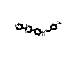 COc1ccc(C=NNc2ccc(-c3cnc(-c4ccncc4)nc3)cc2)cc1